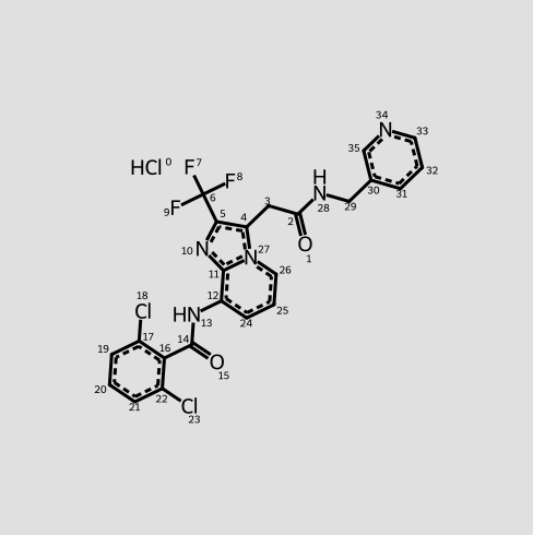 Cl.O=C(Cc1c(C(F)(F)F)nc2c(NC(=O)c3c(Cl)cccc3Cl)cccn12)NCc1cccnc1